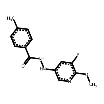 COc1ncc(NNC(=O)c2ccc(C)cc2)cc1F